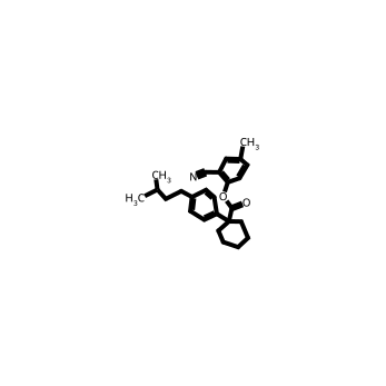 Cc1ccc(OC(=O)C2(c3ccc(CCC(C)C)cc3)CCCCC2)c(C#N)c1